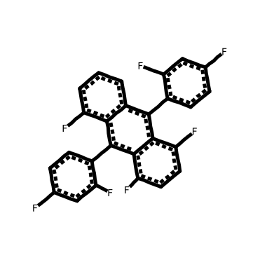 Fc1ccc(-c2c3cccc(F)c3c(-c3ccc(F)cc3F)c3c(F)ccc(F)c23)c(F)c1